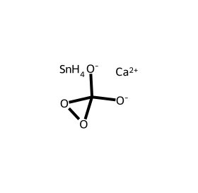 [Ca+2].[O-]C1([O-])OO1.[SnH4]